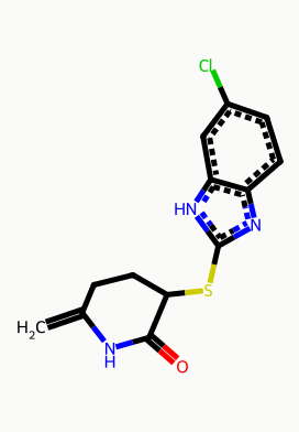 C=C1CCC(Sc2nc3ccc(Cl)cc3[nH]2)C(=O)N1